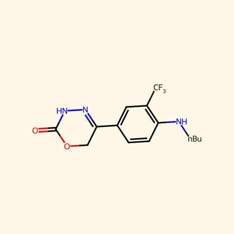 CCCCNc1ccc(C2=NNC(=O)OC2)cc1C(F)(F)F